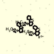 CN1C=CN(c2cccc3sc4ccccc4c23)C1.CN1C=CN(c2cccc3sc4ccccc4c23)C1.CN1C=CN(c2cccc3sc4ccccc4c23)C1.[Ir+3]